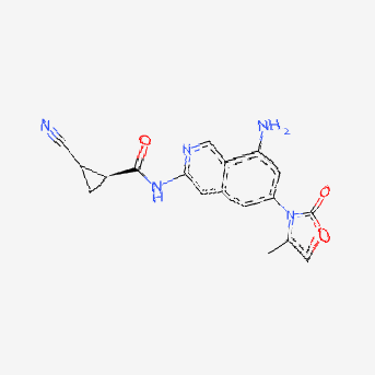 Cc1coc(=O)n1-c1cc(N)c2cnc(NC(=O)[C@H]3CC3C#N)cc2c1